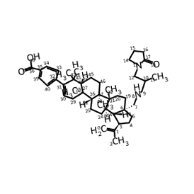 C=C(C)[C@@H]1CC[C@]2(CNCC(C)CN3CCCC3=O)CC[C@]3(C)[C@H](CC[C@@H]4[C@@]5(C)CC=C(c6ccc(C(=O)O)cc6)C(C)(C)[C@@H]5CC[C@]43C)[C@@H]12